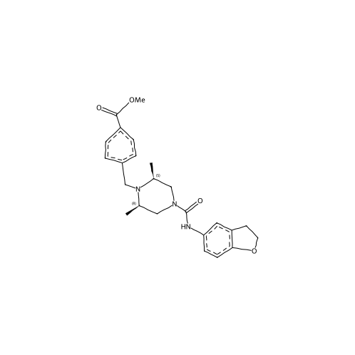 COC(=O)c1ccc(CN2[C@H](C)CN(C(=O)Nc3ccc4c(c3)CCO4)C[C@@H]2C)cc1